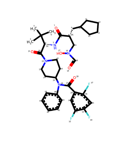 CC(C)(C)[C@H](NC(=O)[C@H](CC1CCCC1)CN(O)C=O)C(=O)N1CCC(N(C(=O)c2cc(F)c(F)cc2F)c2ccccc2)CC1